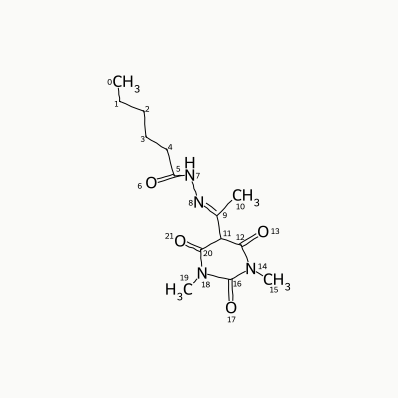 CCCCCC(=O)NN=C(C)C1C(=O)N(C)C(=O)N(C)C1=O